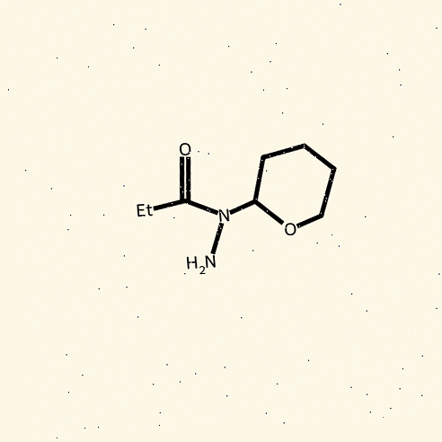 CCC(=O)N(N)C1CCCCO1